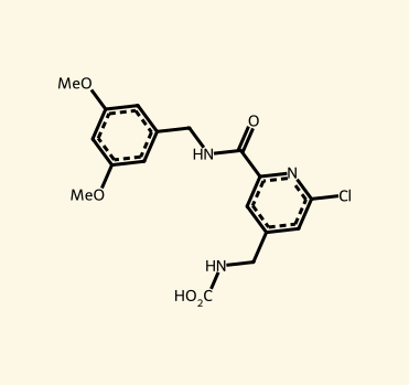 COc1cc(CNC(=O)c2cc(CNC(=O)O)cc(Cl)n2)cc(OC)c1